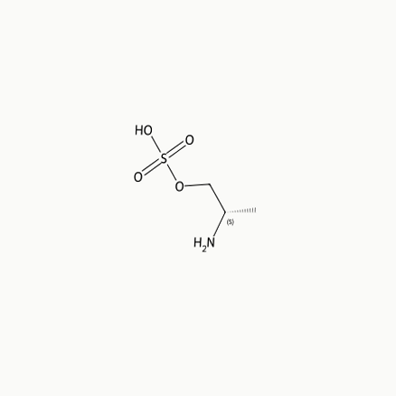 C[C@H](N)COS(=O)(=O)O